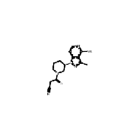 N#CCC(=O)N1CCC[C@@H](n2nc(I)c3c(N)nccc32)C1